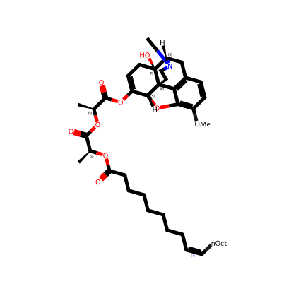 CCCCCCCC/C=C\CCCCCCCC(=O)O[C@@H](C)C(=O)O[C@@H](C)C(=O)OC1=CC[C@]2(O)[C@@H]3Cc4ccc(OC)c5c4[C@]2(CCN3C)[C@@H]1O5